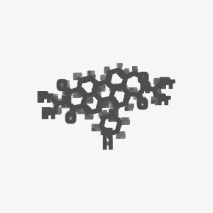 CC(C)C(C(C)C)N1OCc2ccc3c4ccc5c6c(ccc(c7c(N8CCNCC8)cc(c2c37)C1=O)c64)C(=O)N(C(C(C)C)C(C)C)C5=O